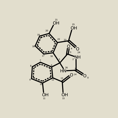 O=C1NC(=O)C(c2cccc(O)c2C(=O)O)(c2cccc(O)c2C(=O)O)N1